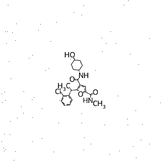 CNC(=O)c1cc(C(=O)N[C@H]2CC[C@H](O)CC2)c(C(C)c2ccccc2Cl)o1